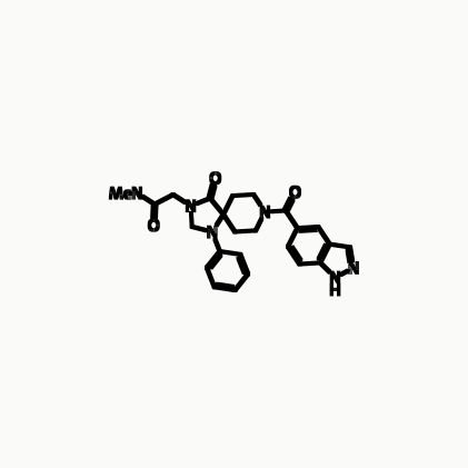 CNC(=O)CN1CN(c2ccccc2)C2(CCN(C(=O)c3ccc4[nH]ncc4c3)CC2)C1=O